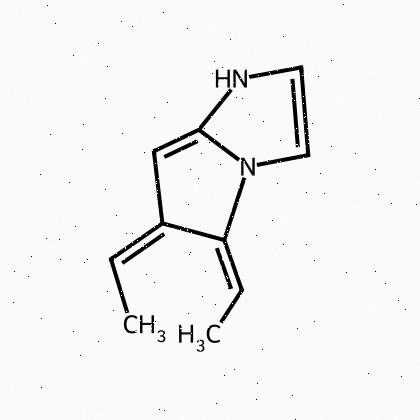 C/C=c1/cc2[nH]ccn2/c1=C/C